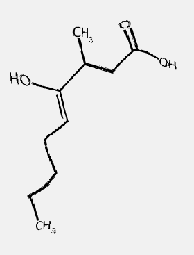 CCCCC=C(O)C(C)CC(=O)O